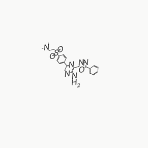 CN(C)CCS(=O)(=O)c1ccc(-c2cnc(N)c(-c3nnc(-c4ccccc4)o3)n2)cc1